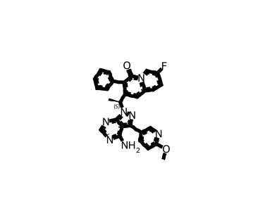 COc1ccc(-c2nn([C@@H](C)c3cc4ccc(F)cn4c(=O)c3-c3ccccc3)c3ncnc(N)c23)cn1